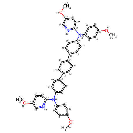 COc1ccc(N(c2ccc(-c3ccc(-c4ccc(N(c5ccc(OC)cc5)c5ccc(OC)cn5)cc4)cc3)cc2)c2ccc(OC)cn2)cc1